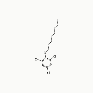 Clc1cc(Cl)c(OCCCCCCCI)c(Cl)c1